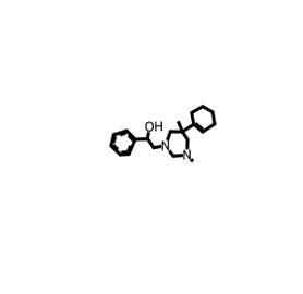 CN1CN(CC(O)c2ccccc2)CC(C)(C2=CCCCC2)C1